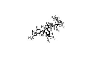 CC(C)CNC(=O)[C@H](CC(F)F)NC(=O)[C@@H]1[C@@H]2[C@H](CN1C(=O)[C@@H](NC(=O)N[C@H](CN(C)S(C)(=O)=O)C(C)(C)C)C(C)(C)C)C2(C)C